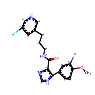 COc1ccc(-c2[nH]cnc2C(=O)NCCCc2cncc(F)c2)cc1I